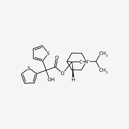 CC(C)[N+]12CCC(CC1)[C@@H](OC(=O)C(O)(c1cccs1)c1cccs1)C2